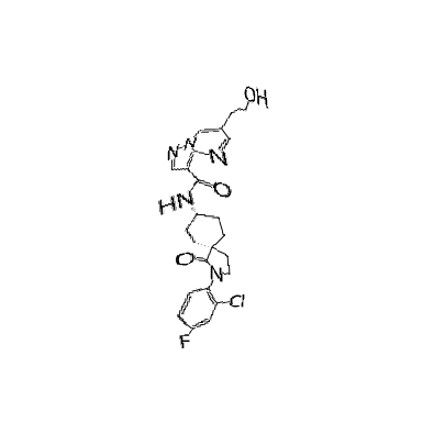 O=C(N[C@H]1CC[C@@]2(CCN(c3ccc(F)cc3Cl)C2=O)CC1)c1cnn2cc(CCO)cnc12